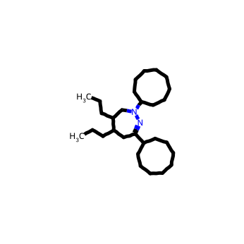 CCCC1CC(C2CCCCCCCC2)=NN(C2CCCCCCCC2)CC1CCC